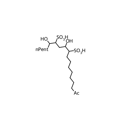 CCCCCC(O)C(CC(O)C(CCCCCCCC(C)=O)S(=O)(=O)O)S(=O)(=O)O